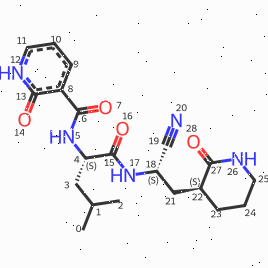 CC(C)C[C@H](NC(=O)c1ccc[nH]c1=O)C(=O)N[C@H](C#N)C[C@@H]1CCCNC1=O